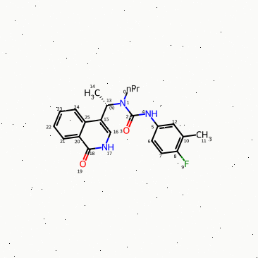 CCCN(C(=O)Nc1ccc(F)c(C)c1)[C@@H](C)c1c[nH]c(=O)c2ccccc12